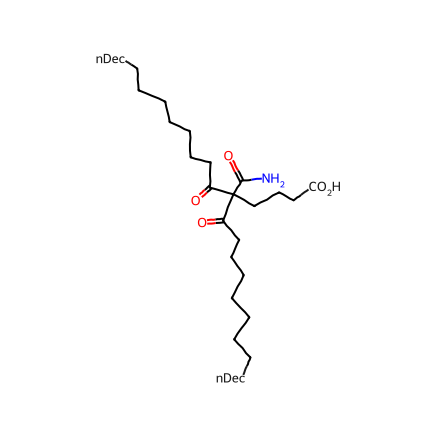 CCCCCCCCCCCCCCCCCC(=O)C(CCCC(=O)O)(C(N)=O)C(=O)CCCCCCCCCCCCCCCCC